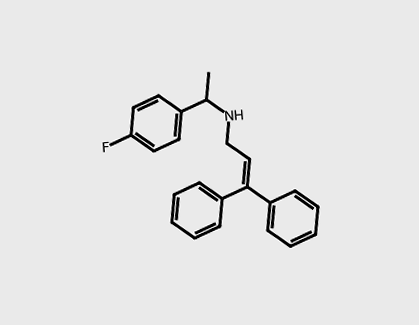 CC(NCC=C(c1ccccc1)c1ccccc1)c1ccc(F)cc1